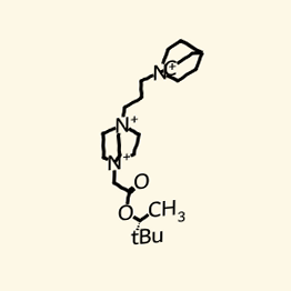 C[C@@H](OC(=O)C[N+]12CC[N+](CCC[N+]34CCC(CC3)CC4)(CC1)CC2)C(C)(C)C